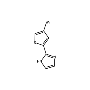 CC(C)c1csc(-c2ncc[nH]2)c1